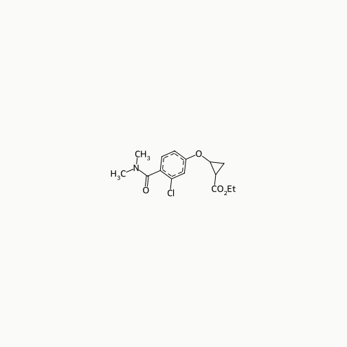 CCOC(=O)C1CC1Oc1ccc(C(=O)N(C)C)c(Cl)c1